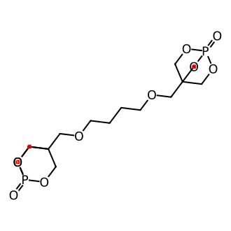 O=P12OCC(COCCCCOCC34COP(=O)(OC3)OC4)(CO1)CO2